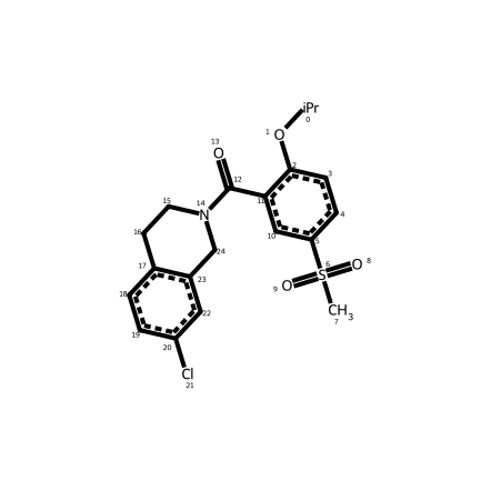 CC(C)Oc1ccc(S(C)(=O)=O)cc1C(=O)N1CCc2ccc(Cl)cc2C1